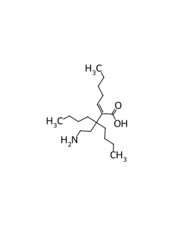 CCCCC=C(C(=O)O)C(CCN)(CCCC)CCCC